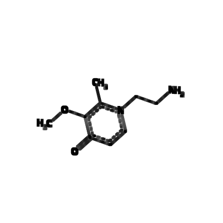 COc1c(C)n(CCN)ccc1=O